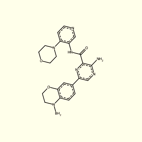 BN1CCOc2cc(-c3cnc(N)c(C(=O)Nc4cnccc4N4CCOCC4)n3)ccc21